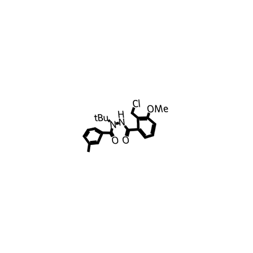 COc1cccc(C(=O)NN(C(=O)c2cccc(C)c2)C(C)(C)C)c1CCl